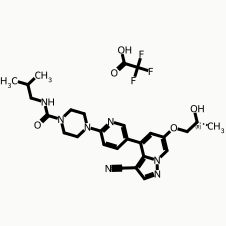 CC(C)CNC(=O)N1CCN(c2ccc(-c3cc(OC[C@@H](C)O)cn4ncc(C#N)c34)cn2)CC1.O=C(O)C(F)(F)F